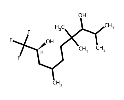 CC(CCC(C)(C)C(O)C(C)C)C[C@H](O)C(F)(F)F